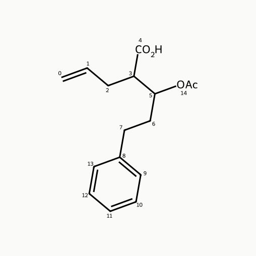 C=CCC(C(=O)O)C(CCc1ccccc1)OC(C)=O